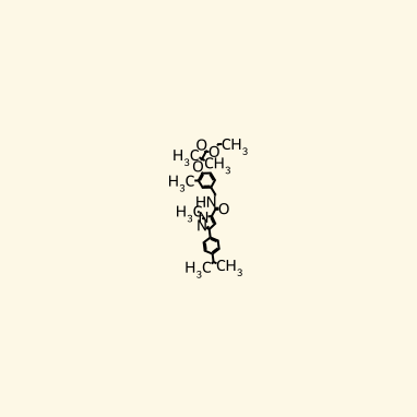 CCOC(=O)C(C)(C)Oc1ccc(CNC(=O)c2cc(-c3ccc(C(C)C)cc3)nn2C)cc1C